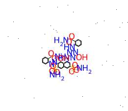 NOC(=O)c1ccccc1N=Nc1c(S(=O)(=O)ON)cc2cc(S(=O)(=O)ON)cc(Nc3nc(O)nc(Nc4ccccc4C(=O)ON)n3)c2c1O